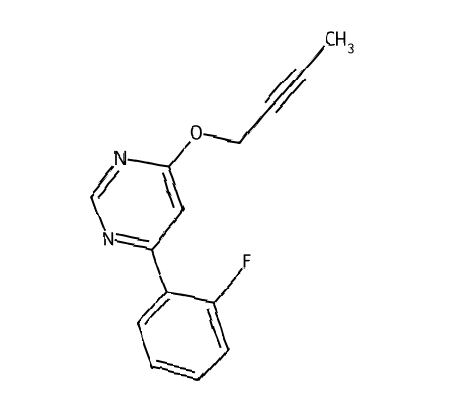 CC#CCOc1cc(-c2ccccc2F)ncn1